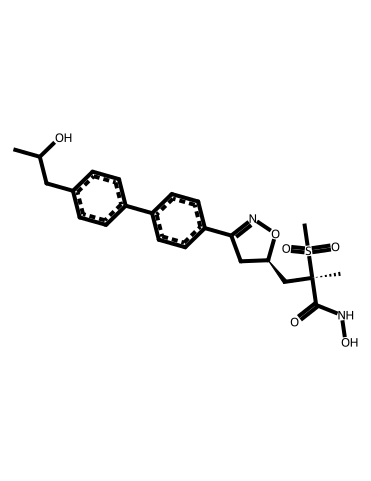 CC(O)Cc1ccc(-c2ccc(C3=NO[C@@H](C[C@](C)(C(=O)NO)S(C)(=O)=O)C3)cc2)cc1